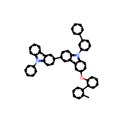 Cc1ccccc1-c1ccccc1Oc1ccc2c(c1)c1cc(-c3ccc4c(c3)c3ccccc3n4-c3ccccc3)ccc1n2-c1cccc(-c2ccccc2)c1